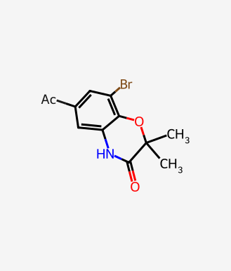 CC(=O)c1cc(Br)c2c(c1)NC(=O)C(C)(C)O2